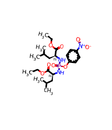 CCOC(=O)[C@H](CC(C)C)NP(=O)(N[C@@H](CC(C)C)C(=O)OCC)Oc1ccc([N+](=O)[O-])cc1